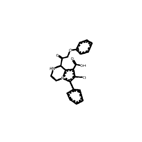 O=C(O)c1c(Cl)c(-c2ccccc2)n2c1C(C(=O)COc1ccccc1)NCC2